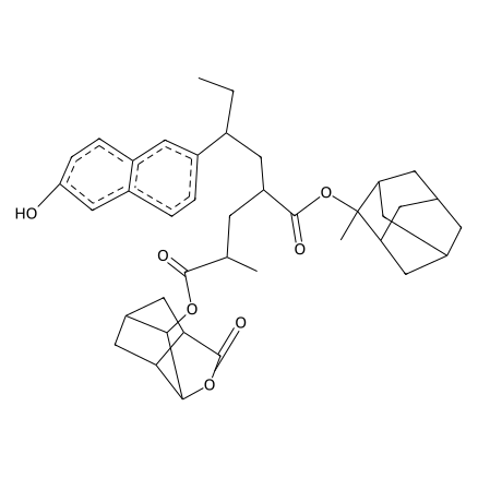 CCC(CC(CC(C)C(=O)OC1C2CC3C(=O)OC1C3C2)C(=O)OC1(C)C2CC3CC(C2)CC1C3)c1ccc2cc(O)ccc2c1